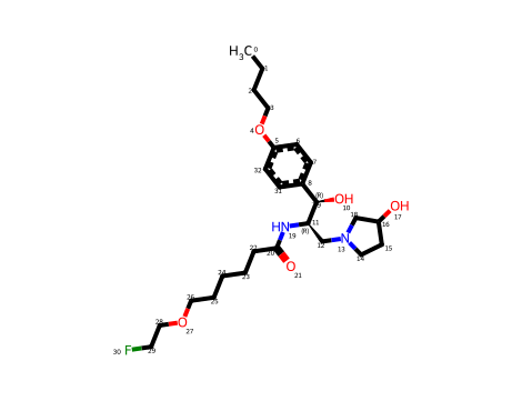 CCCCOc1ccc([C@@H](O)[C@@H](CN2CCC(O)C2)NC(=O)CCCCCOCCF)cc1